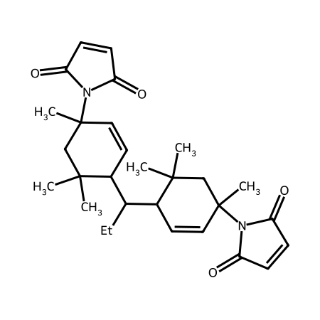 CCC(C1C=CC(C)(N2C(=O)C=CC2=O)CC1(C)C)C1C=CC(C)(N2C(=O)C=CC2=O)CC1(C)C